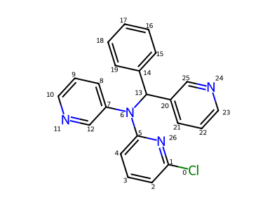 Clc1cccc(N(c2cccnc2)C(c2ccccc2)c2cccnc2)n1